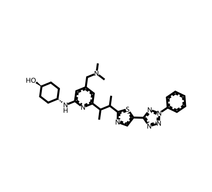 CC(c1cc(CN(C)C)cc(N[C@H]2CC[C@H](O)CC2)n1)C(C)c1ncc(-c2nnn(-c3ccccc3)n2)s1